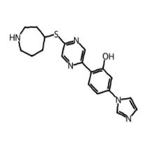 Oc1cc(-n2ccnc2)ccc1-c1cnc(SC2CCCNCC2)cn1